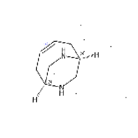 C1=C\C[C@H]2CN[C@@H](C/1)CN2